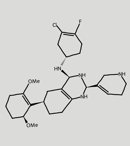 COC1=C([C@@H]2CCC3=C(C2)[C@@H](N[C@H]2CCC(F)=C(Cl)C2)N[C@@H](C2=CCCNC2)N3)[C@@H](OC)CCC1